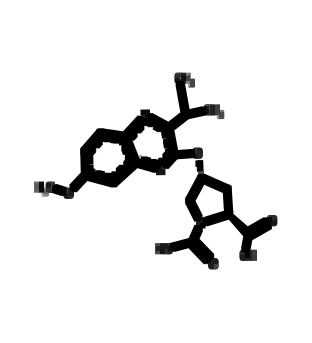 COc1ccc2nc(C(C)C)c(O[C@@H]3C[C@@H](C(=O)O)N(C(=O)O)C3)nc2c1